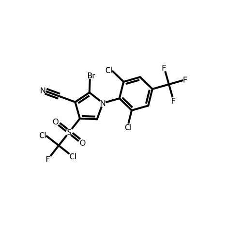 N#Cc1c(S(=O)(=O)C(F)(Cl)Cl)cn(-c2c(Cl)cc(C(F)(F)F)cc2Cl)c1Br